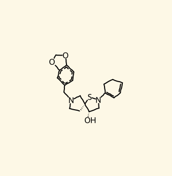 O[C@H]1CN(C2=CC=CCC2)S[C@@]12CCN(Cc1ccc3c(c1)OCO3)C2